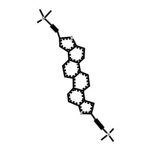 C[Si](C)(C)C#Cc1cc2c(ccc3c2ccc2c4ccc5sc(C#C[Si](C)(C)C)cc5c4ccc32)s1